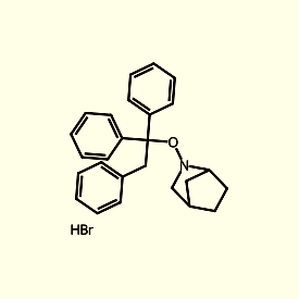 Br.c1ccc(CC(ON2CC3CCC2C3)(c2ccccc2)c2ccccc2)cc1